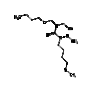 CCCCOCN(CO)C(=O)N(CCCCOC)OC